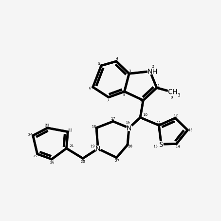 Cc1[nH]c2ccccc2c1C(c1cccs1)N1CCN(Cc2ccccc2)CC1